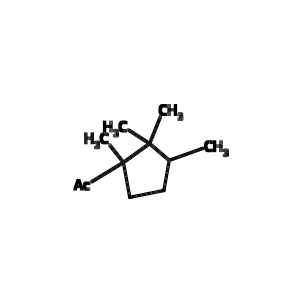 CC(=O)C1(C)CCC(C)C1(C)C